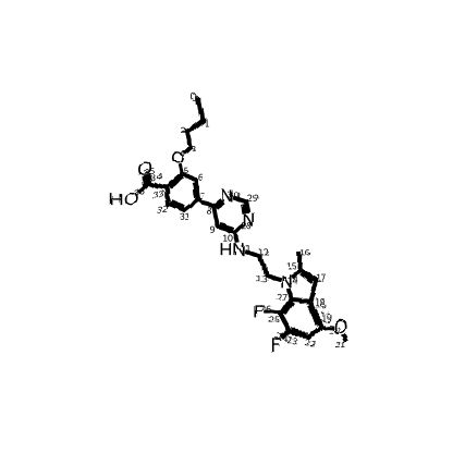 CCCCOc1cc(-c2cc(NCCn3c(C)cc4c(OC)cc(F)c(F)c43)ncn2)ccc1C(=O)O